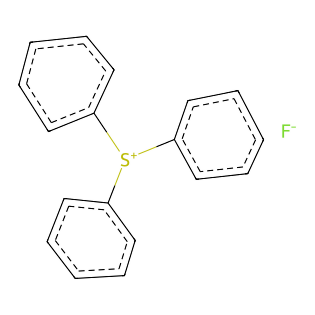 [F-].c1ccc([S+](c2ccccc2)c2ccccc2)cc1